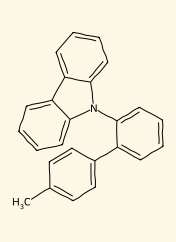 Cc1ccc(-c2ccccc2-n2c3ccccc3c3ccccc32)cc1